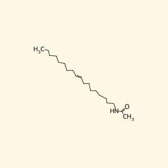 CCCCCCCCC=CCCCCCCCCNC(C)=O